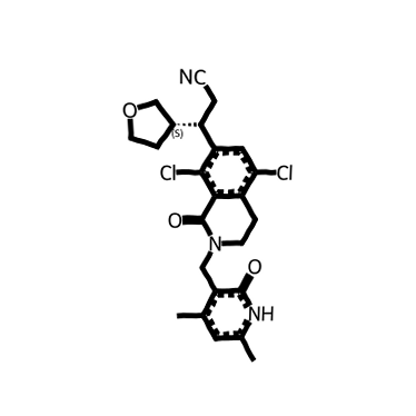 Cc1cc(C)c(CN2CCc3c(Cl)cc(C(CC#N)[C@@H]4CCOC4)c(Cl)c3C2=O)c(=O)[nH]1